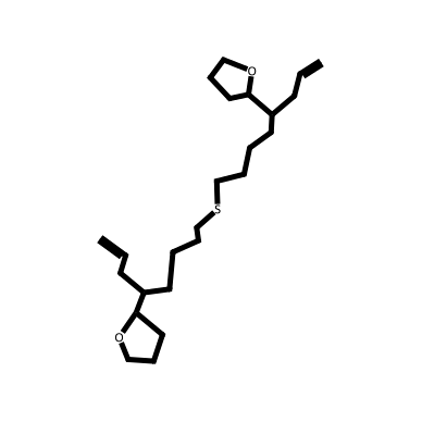 C=CCC(CCCCSCCCCC(CC=C)C1CCCO1)C1CCCO1